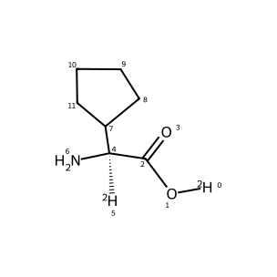 [2H]OC(=O)[C@@]([2H])(N)C1CCCC1